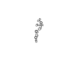 COC(=O)c1ccc2nc(CN3CCC(c4cccc(OCc5ccc(P(C)(C)=O)cc5F)n4)CC3)n(C[C@@H]3CCO3)c2c1